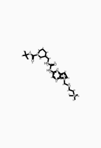 CC(C)(C)OC(=O)N1CCCC(CNC(=O)Nc2cnc3c(ccn3COCC[Si](C)(C)C)n2)C1